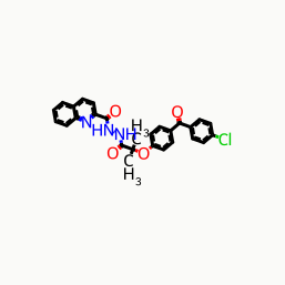 CC(C)(Oc1ccc(C(=O)c2ccc(Cl)cc2)cc1)C(=O)NNC(=O)c1ccc2ccccc2n1